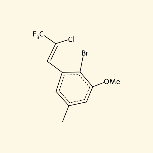 COc1cc(C)cc(C=C(Cl)C(F)(F)F)c1Br